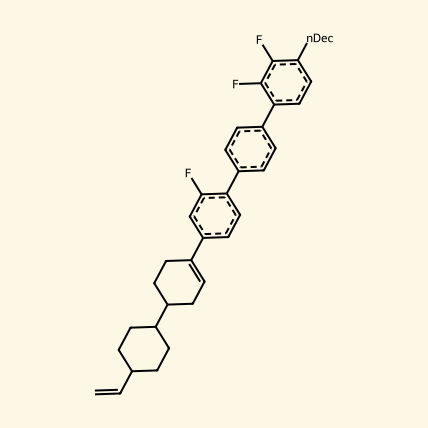 C=CC1CCC(C2CC=C(c3ccc(-c4ccc(-c5ccc(CCCCCCCCCC)c(F)c5F)cc4)c(F)c3)CC2)CC1